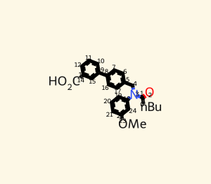 CCCCC(=O)N(Cc1ccc(-c2cccc(C(=O)O)c2)cc1)c1cccc(OC)c1